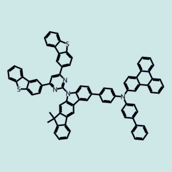 CC1(C)c2ccccc2-c2cc3c4cc(-c5ccc(N(c6ccc(-c7ccccc7)cc6)c6ccc7c8ccccc8c8ccccc8c7c6)cc5)ccc4n(-c4nc(-c5ccc6sc7ccccc7c6c5)cc(-c5ccc6sc7ccccc7c6c5)n4)c3cc21